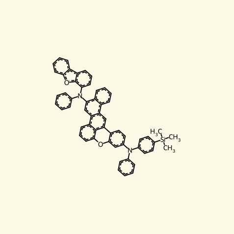 C[Si](C)(C)c1ccc(N(c2ccccc2)c2ccc3c(c2)Oc2cccc4c2c-3cc2c3ccccc3c(N(c3ccccc3)c3cccc5c3oc3ccccc35)cc42)cc1